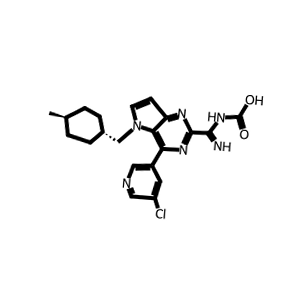 C[C@H]1CC[C@H](Cn2ccc3nc(C(=N)NC(=O)O)nc(-c4cncc(Cl)c4)c32)CC1